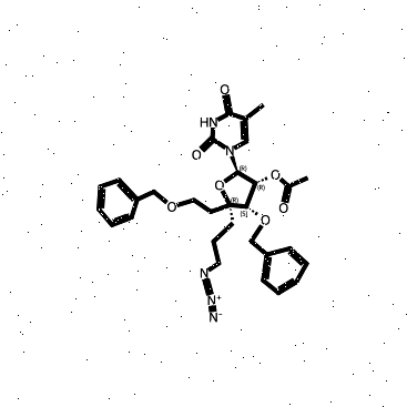 CC(=O)O[C@H]1[C@H](n2cc(C)c(=O)[nH]c2=O)O[C@](CCCN=[N+]=[N-])(CCOCc2ccccc2)[C@H]1OCc1ccccc1